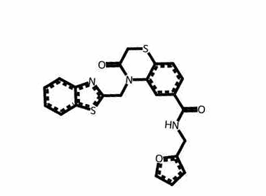 O=C(NCc1ccco1)c1ccc2c(c1)N(Cc1nc3ccccc3s1)C(=O)CS2